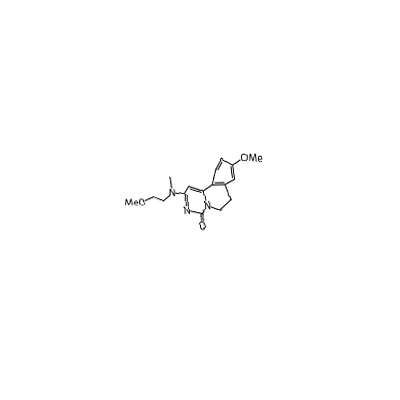 COCCN(C)c1cc2n(c(=O)n1)CCc1cc(OC)ccc1-2